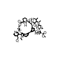 CCn1c(-c2cnccc2COC)c2c3cc(ccc31)-c1cc(O)cc(c1)C[C@H](NC(=O)C(C(C)C)N(C)C(=O)CN(C)C(=O)[C@H]1N[C@H]1C(=O)OC)C(=O)N1CCC[C@H](N1)C(=O)OCC(C)(C)C2